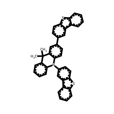 CC1(C)c2ccccc2N(c2ccc3sc4ccccc4c3c2)c2ccc(-c3ccc4sc5ccccc5c4c3)cc21